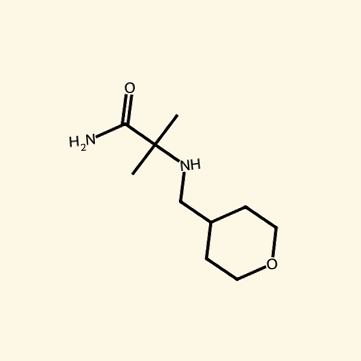 CC(C)(NCC1CCOCC1)C(N)=O